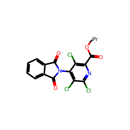 CC(C)OC(=O)c1nc(Cl)c(Cl)c(N2C(=O)c3ccccc3C2=O)c1Cl